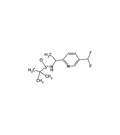 CC(N[S+]([O-])C(C)(C)C)c1ccc(C(F)F)cn1